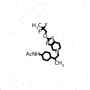 CC(=O)NC1CCC([C@H](C)CN2CCc3sc(OCC(C)(F)F)nc3C2)CC1